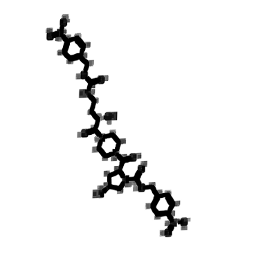 O=C(NCC[C@H](O)C(=O)N1CCN(C(=O)[C@@H]2C[C@H](S)CN2C(=O)OCc2ccc([N+](=O)[O-])cc2)CC1)OCc1ccc([N+](=O)[O-])cc1